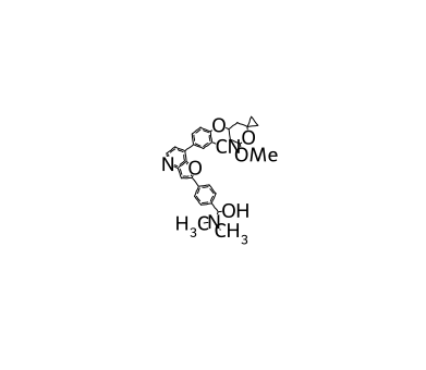 COC1CC(Oc2ccc(-c3ccnc4cc(-c5ccc(C(O)N(C)C)cc5)oc34)cc2C#N)CC2(CC2)O1